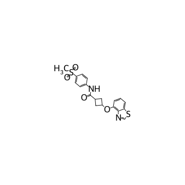 CS(=O)(=O)c1ccc(NC(=O)C2CC(Oc3cccc4scnc34)C2)cc1